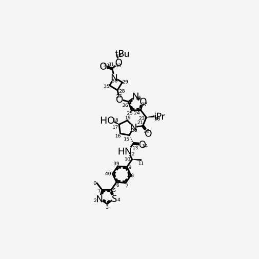 Cc1ncsc1-c1ccc([C@H](C)NC(=O)[C@@H]2C[C@@H](O)CN2C(=O)[C@@H](c2cc(OC3CN(C(=O)OC(C)(C)C)C3)no2)C(C)C)cc1